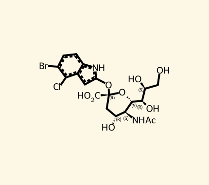 CC(=O)N[C@@H]1[C@@H]([C@H](O)[C@@H](O)CO)O[C@](Oc2cc3c(Cl)c(Br)ccc3[nH]2)(C(=O)O)C[C@H]1O